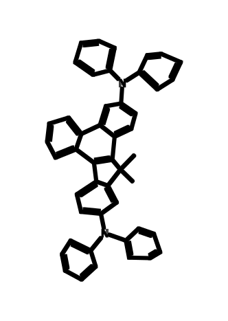 CC1(C)c2cc(N(c3ccccc3)c3ccccc3)ccc2-c2c1c1ccc(N(c3ccccc3)c3ccccc3)cc1c1ccccc21